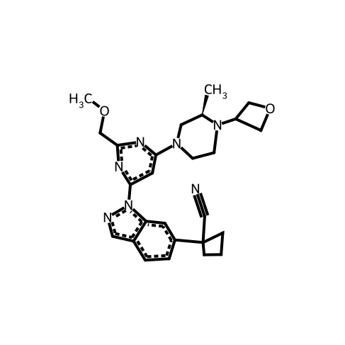 COCc1nc(N2CCN(C3COC3)[C@H](C)C2)cc(-n2ncc3ccc(C4(C#N)CCC4)cc32)n1